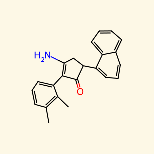 Cc1cccc(C2=C(N)CC(c3cccc4ccccc34)C2=O)c1C